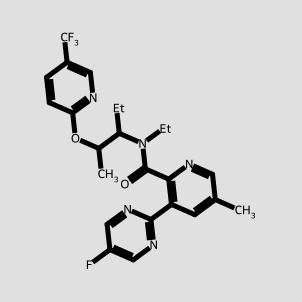 CCC(C(C)Oc1ccc(C(F)(F)F)cn1)N(CC)C(=O)c1ncc(C)cc1-c1ncc(F)cn1